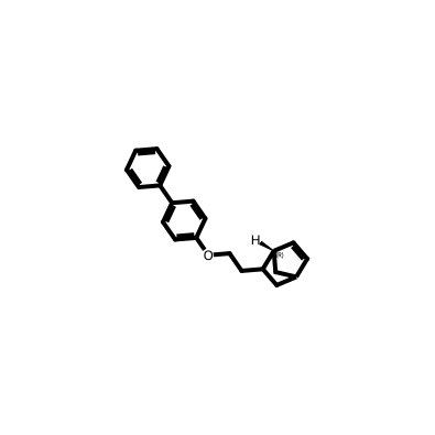 C1=C[C@@H]2CC1CC2CCOc1ccc(-c2ccccc2)cc1